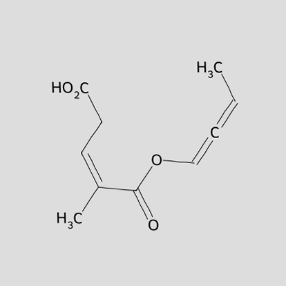 CC=C=COC(=O)C(C)=CCC(=O)O